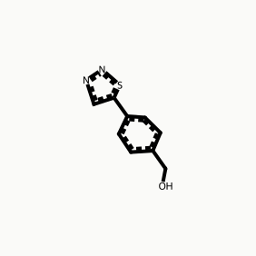 OCc1ccc(-c2cnns2)cc1